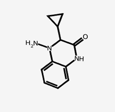 NN1c2ccccc2NC(=O)C1C1CC1